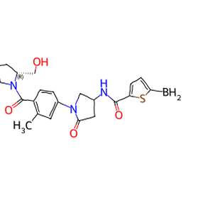 Bc1ccc(C(=O)NC2CC(=O)N(c3ccc(C(=O)N4CCC[C@@H]4CO)c(C)c3)C2)s1